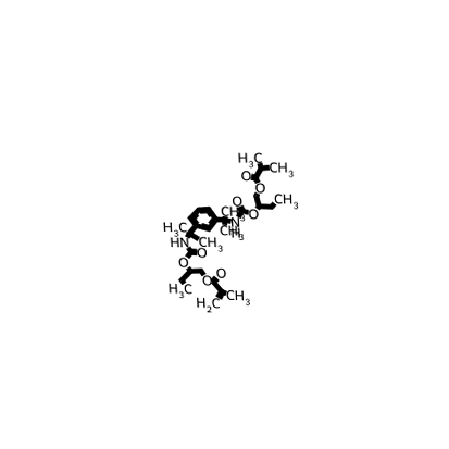 C=C(C)C(=O)OCC(CC)OC(=O)NC(C)(C)c1cccc(C(C)(C)NC(=O)OC(CC)COC(=O)C(C)C)c1